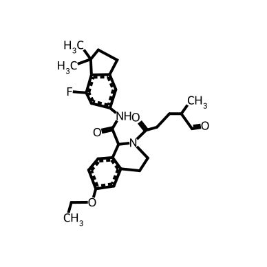 CCOc1ccc2c(c1)CCN(C(=O)CCC(C)C=O)C2C(=O)Nc1cc(F)c2c(c1)CCC2(C)C